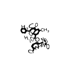 Cc1cc([C@@H](C)Oc2ccc(Cl)nc2-c2noc(=O)[nH]2)c2oc(-c3ccccc3)c(C)c(=O)c2c1